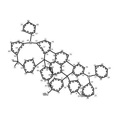 CC(C)(C)c1ccc(C2(c3ccc(C(C)(C)C)cc3)c3cc(N(c4ccccc4)c4ccccc4)ccc3-c3ccc4c5c(ccc2c35)C2(c3ccc(C(C)(C)C)cc3)c3ccc(cc3)C(C)(C)c3cccc(c3)N(c3ccccc3)c3ccc-4c2c3)cc1